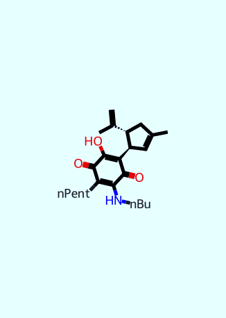 C=C(C)[C@@H]1CC(C)=C[C@H]1C1=C(O)C(=O)C(CCCCC)=C(NCCCC)C1=O